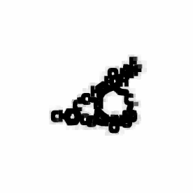 C[C@@H]1[C@@H](C)C/C=C/[C@@](O)(CC(=O)N2CC(F)(F)C2)[C@@H]2CC[C@H]2CN2CCCCc3cc(Cl)ccc3COc3ccc(cc32)C(=O)NS1(=O)=O